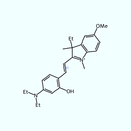 CCN(CC)c1ccc(/C=C/C2=[N+](C)c3ccc(OC)cc3C2(C)CC)c(O)c1